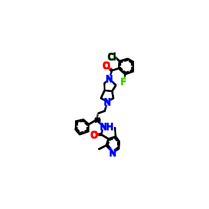 Cc1ccnc(C)c1C(=O)N[C@@H](CCN1CC2CN(C(=O)c3c(F)cccc3Cl)CC2C1)c1ccccc1